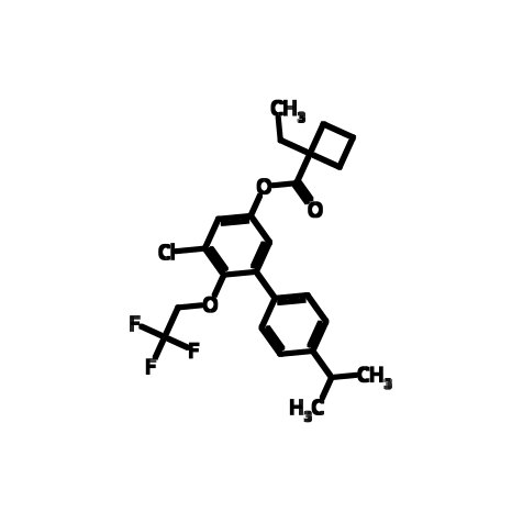 CCC1(C(=O)Oc2cc(Cl)c(OCC(F)(F)F)c(-c3ccc(C(C)C)cc3)c2)CCC1